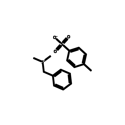 C[S+](C)Cc1ccccc1.Cc1ccc(S(=O)(=O)[O-])cc1